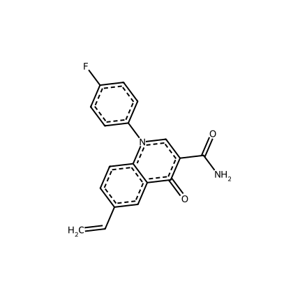 C=Cc1ccc2c(c1)c(=O)c(C(N)=O)cn2-c1ccc(F)cc1